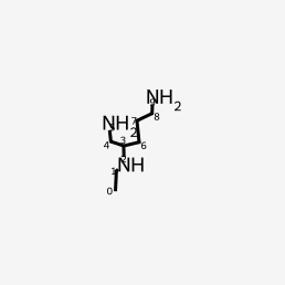 CCNC(CN)CCCN